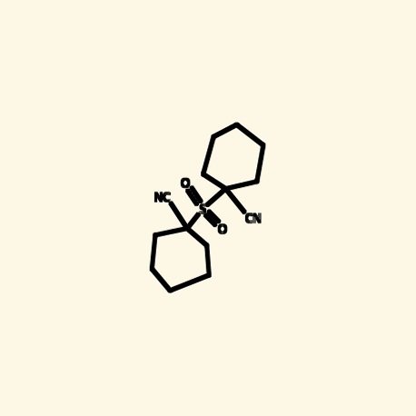 N#CC1(S(=O)(=O)C2(C#N)CCCCC2)CCCCC1